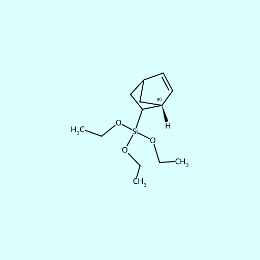 CCO[Si](OCC)(OCC)C1CC2C=C[C@H]1C2